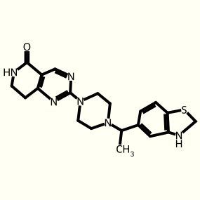 CC(c1ccc2c(c1)NCS2)N1CCN(c2ncc3c(n2)CCNC3=O)CC1